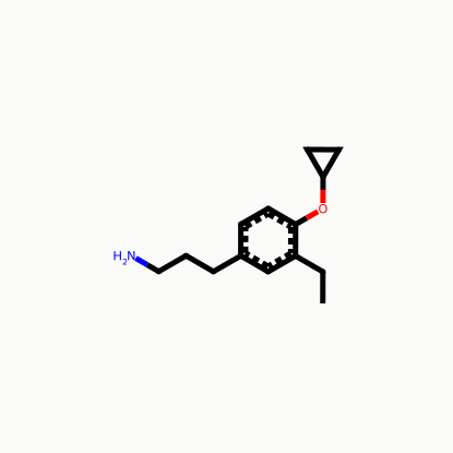 CCc1cc(CCCN)ccc1OC1CC1